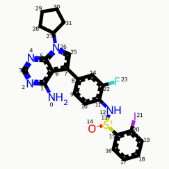 Nc1ncnc2c1c(-c1ccc(N[S+]([O-])c3ccccc3I)c(F)c1)cn2C1CCCC1